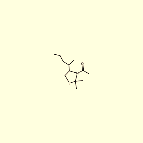 CCCC(C)C1CSC(C)(C)N1C(C)=O